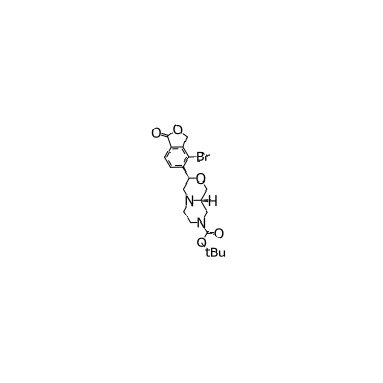 CC(C)(C)OC(=O)N1CCN2C[C@@H](c3ccc4c(c3Br)COC4=O)OC[C@@H]2C1